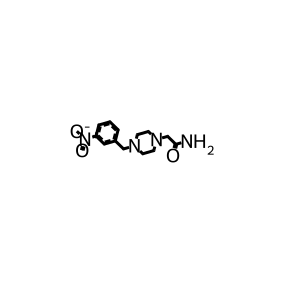 NC(=O)CN1CCN(Cc2cccc([N+](=O)[O-])c2)CC1